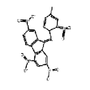 CC1=CC(=S(=O)=O)C(N=C2c3cc([N+](=O)[O-])ccc3-c3c2cc([N+](=O)[O-])cc3[N+](=O)[O-])C=C1